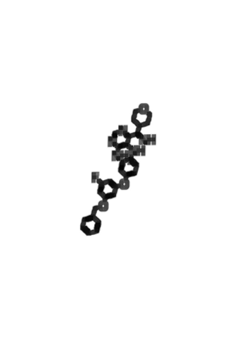 N=C(c1ncnc(N)c1Nc1ccc(Oc2cc(F)cc(OCc3ccccc3)c2)cc1)C1CCOCC1